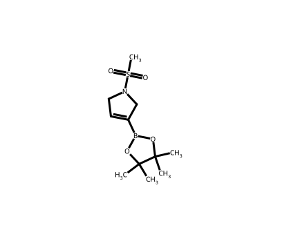 CC1(C)OB(C2=CCN(S(C)(=O)=O)C2)OC1(C)C